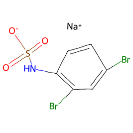 O=S(=O)([O-])Nc1ccc(Br)cc1Br.[Na+]